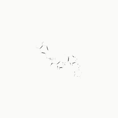 Cc1cnc(N[C@H]2CCOC2)nc1-n1cnc(C(=O)NCc2ccc(Cl)c(F)c2)c1